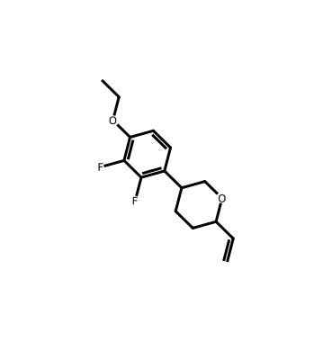 C=CC1CCC(c2ccc(OCC)c(F)c2F)CO1